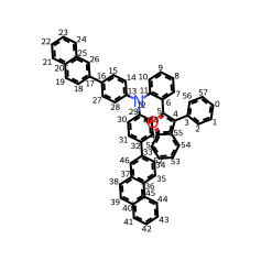 c1ccc(-c2c(-c3ccccc3N(c3ccc(-c4ccc5ccccc5c4)cc3)c3ccc(-c4ccc5c(ccc6ccccc65)c4)cc3)oc3ccccc23)cc1